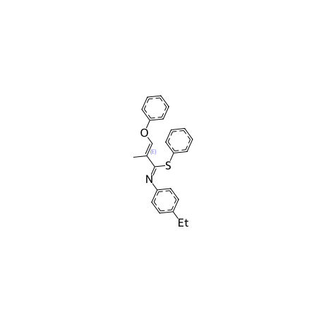 CCc1ccc(N=C(Sc2ccccc2)/C(C)=C/Oc2ccccc2)cc1